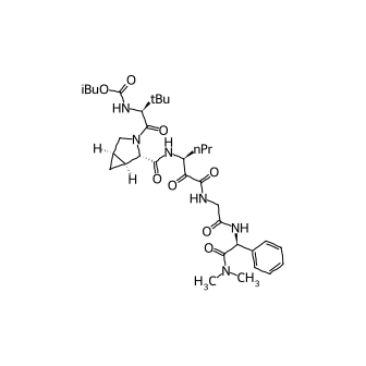 CCC[C@H](NC(=O)[C@@H]1[C@H]2C[C@H]2CN1C(=O)[C@@H](NC(=O)OCC(C)C)C(C)(C)C)C(=O)C(=O)NCC(=O)N[C@H](C(=O)N(C)C)c1ccccc1